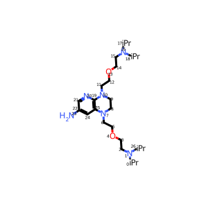 CC(C)N(CCOCCN1CCN(CCOCCN(C(C)C)C(C)C)c2ncc(N)cc21)C(C)C